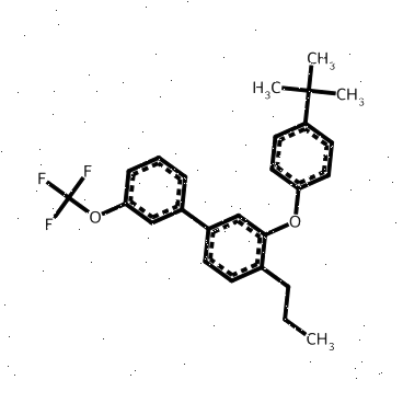 CCCc1ccc(-c2cccc(OC(F)(F)F)c2)cc1Oc1ccc(C(C)(C)C)cc1